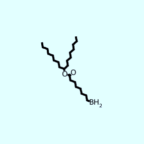 BCCCCCCCC(=O)OC(CCCCCCCC)CCCCCCCC